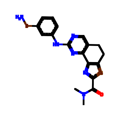 CN(C)C(=O)c1nc2c(s1)CCc1cnc(Nc3cccc(SN)c3)nc1-2